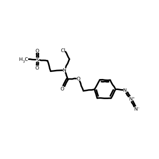 CS(=O)(=O)CCN(CCl)C(=O)OCc1ccc(N=[N+]=[N-])cc1